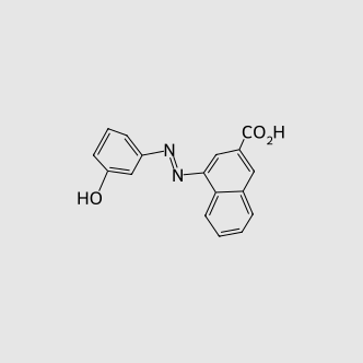 O=C(O)c1cc(N=Nc2cccc(O)c2)c2ccccc2c1